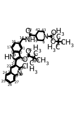 CC(C)(C)OC(=O)N1CCC(C(=O)NCc2ccc3[nH]c(-c4cc5ccccc5nc4Cl)c(OC(=O)C(C)(C)C)c3c2)CC1